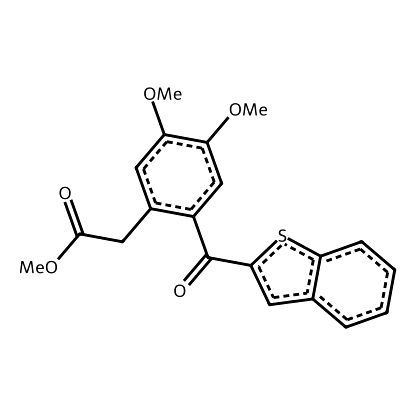 COC(=O)Cc1cc(OC)c(OC)cc1C(=O)c1cc2ccccc2s1